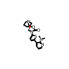 CN(C)c1ncccc1-c1ccc(N2C[C@@]3(CN4CCC3CC4)OC2=O)s1